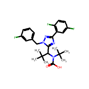 CC(C)(C)C(c1nc(-c2cc(F)ccc2F)nn1Cc1cccc(F)c1)N(C(=O)O)C(C)(C)C